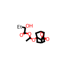 CCC(O)C(=O)OC(C)OC12CC3CC(C1)OC(=O)C(C3)C2